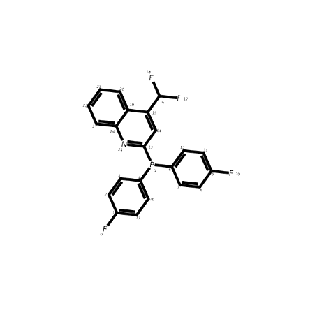 Fc1ccc(P(c2ccc(F)cc2)c2cc(C(F)F)c3ccccc3n2)cc1